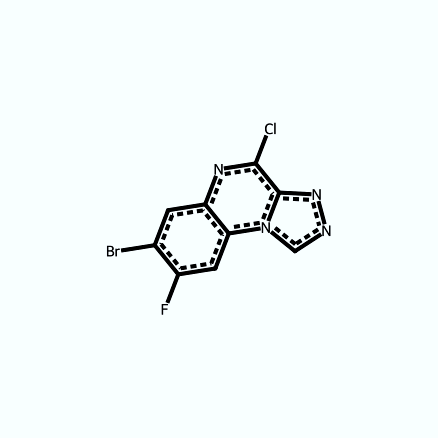 Fc1cc2c(cc1Br)nc(Cl)c1nncn12